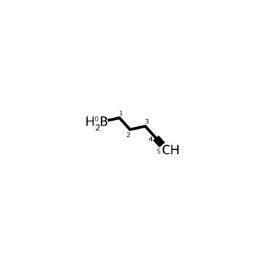 BCCCC#C